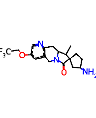 CC1C2Cc3ncc(OCC(F)(F)F)cc3CN2C(=O)[C@]12CC[C@@H](N)C2